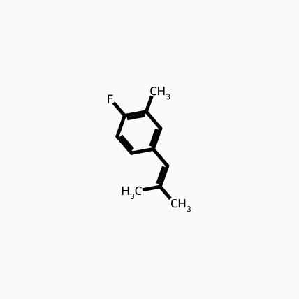 CC(C)=Cc1ccc(F)c(C)c1